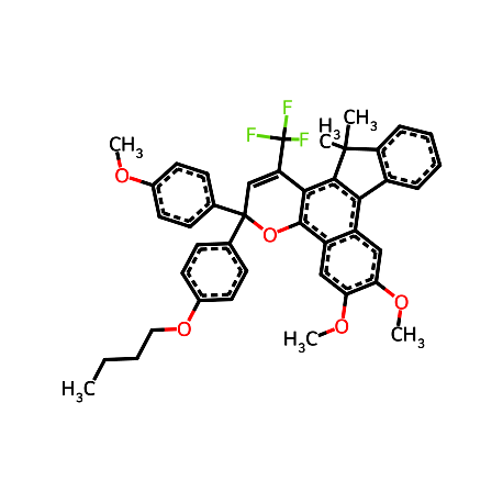 CCCCOc1ccc(C2(c3ccc(OC)cc3)C=C(C(F)(F)F)c3c4c(c5cc(OC)c(OC)cc5c3O2)-c2ccccc2C4(C)C)cc1